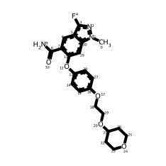 Cn1nc(F)c2cc(C(N)=O)c(Oc3ccc(OCCOC4CCOCC4)cc3)cc21